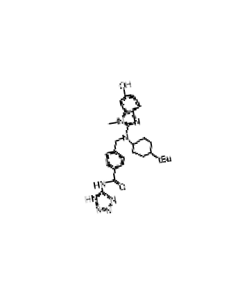 Cn1c(N(Cc2ccc(C(=O)Nc3nnn[nH]3)cc2)C2CCC(C(C)(C)C)CC2)nc2ccc(O)cc21